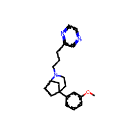 COc1cccc(C23CCC(C2)N(CCCc2cnccn2)CC3)c1